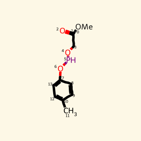 COC(=O)COPOc1ccc(C)cc1